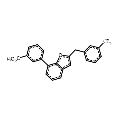 O=C(O)c1cccc(-c2cccc3cc(Cc4cccc(C(F)(F)F)c4)oc23)c1